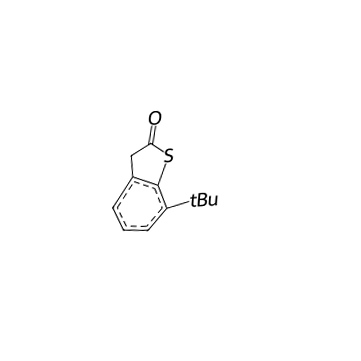 CC(C)(C)c1cccc2c1SC(=O)C2